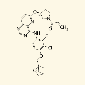 C=CC(=O)N1CC[C@H](Oc2ccc3ncnc(Nc4ccc(OCC56CC(CO5)C6)c(Cl)c4F)c3n2)C1